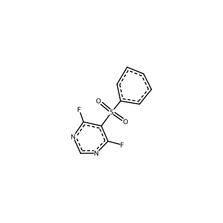 O=S(=O)(c1ccccc1)c1c(F)ncnc1F